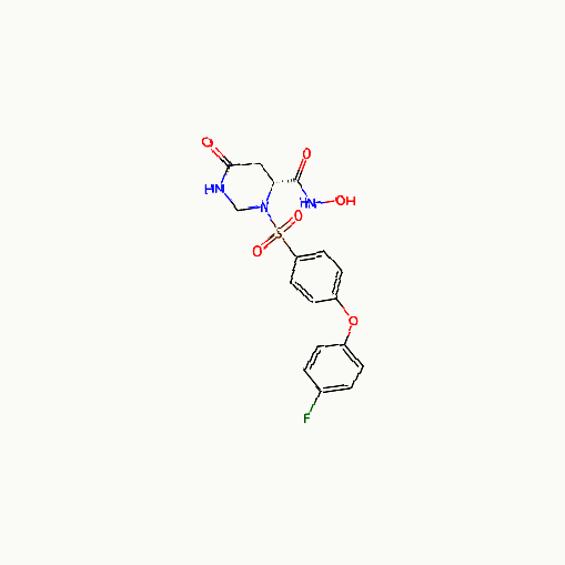 O=C1C[C@H](C(=O)NO)N(S(=O)(=O)c2ccc(Oc3ccc(F)cc3)cc2)CN1